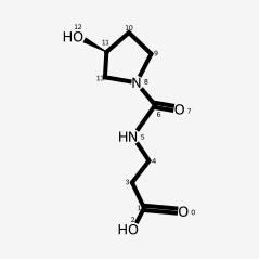 O=C(O)CCNC(=O)N1CC[C@H](O)C1